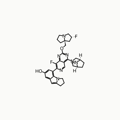 Oc1cc(-c2ncc3c(N4C[C@H]5CC[C@@H](C4)N5)nc(OC[C@@]45CCCN4C[C@H](F)C5)nc3c2F)c2c(c1)cc1n2CCC1